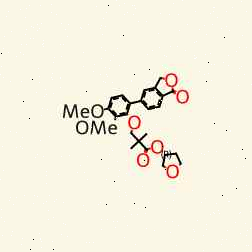 COc1ccc(-c2ccc3c(c2)COC3=O)c(OCC(C)(C)C(=O)O[C@@H]2CCOC2)c1OC